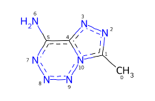 Cc1nnc2c(N)nnnn12